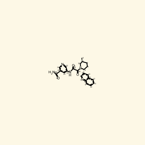 C[C@H]1CC[C@H](c2cnc3ccccc3c2)N(C(=O)C(=O)Nc2cncc(C(N)=O)c2)C1